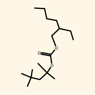 CCCCC(CC)COC(=O)OC(C)(C)CC(C)(C)C